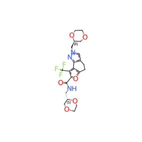 O=C(NC[C@H]1COCCO1)c1oc2c(c1C(F)(F)F)-c1nn(C[C@@H]3COCCO3)cc1CC2